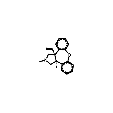 C=C[C@]12CN(C)C[C@]1(C)c1ccccc1Oc1ccccc12